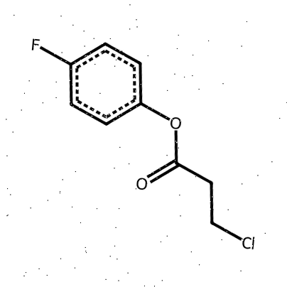 O=C(CCCl)Oc1ccc(F)cc1